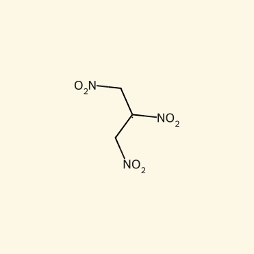 O=[N+]([O-])C[C](C[N+](=O)[O-])[N+](=O)[O-]